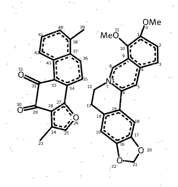 COc1ccc2cc3[n+](cc2c1OC)CCc1cc2c(cc1-3)OCO2.Cc1coc2c1C(=O)C(=O)c1c-2ccc2c(C)cccc12